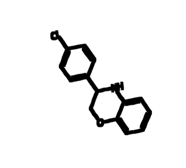 Clc1ccc(C2COc3ccccc3N2)cc1